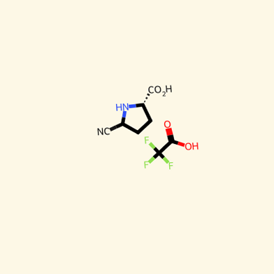 N#CC1CC[C@@H](C(=O)O)N1.O=C(O)C(F)(F)F